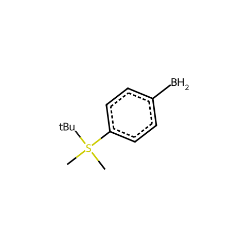 Bc1ccc(S(C)(C)C(C)(C)C)cc1